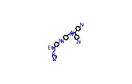 CCN(CCN1C=CN(C)C1)c1ccc(/N=N/c2ccc(/C=N/N=C(c3ccc(N(C)C)cc3)c3ccc(N(C)C)cc3)cc2)cc1